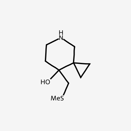 CSCC1(O)CCNCC12CC2